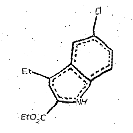 CCOC(=O)c1[nH]c2ccc(Cl)cc2c1CC